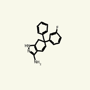 Nc1n[nH]c2c1C=CC(c1ccccc1)(c1cccc(F)c1)C2